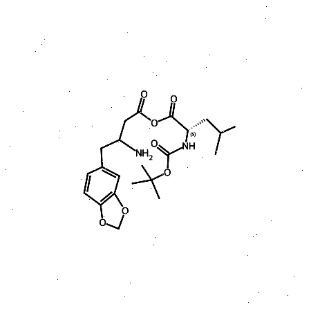 CC(C)C[C@H](NC(=O)OC(C)(C)C)C(=O)OC(=O)CC(N)Cc1ccc2c(c1)OCO2